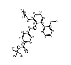 CCc1ccccc1-c1cccc(CC#N)c1OCc1ccc(C(=O)OC(C)(C)C)cc1